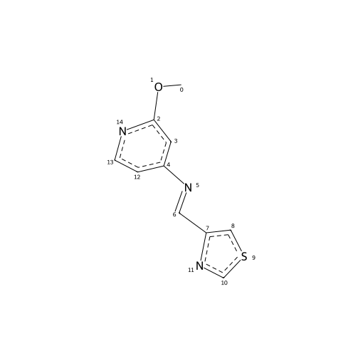 COc1cc(/N=C/c2cscn2)ccn1